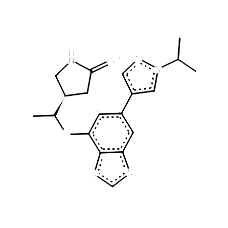 CC(Oc1cc(-c2cnn(C(C)C)c2)cc2ncsc12)[C@H]1CNC(=O)C1